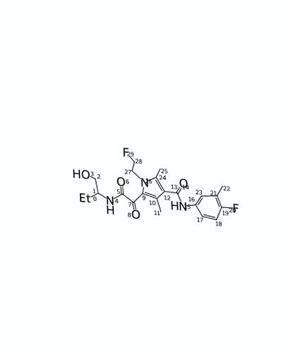 CCC(CO)NC(=O)C(=O)c1c(C)c(C(=O)Nc2ccc(F)c(C)c2)c(C)n1CCF